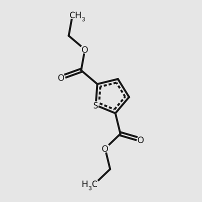 CCOC(=O)c1ccc(C(=O)OCC)s1